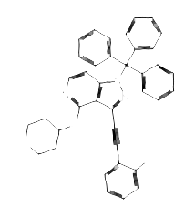 Clc1ccccc1C#Cc1nn(C(c2ccccc2)(c2ccccc2)c2ccccc2)c2ccnc(OC3CCOCC3)c12